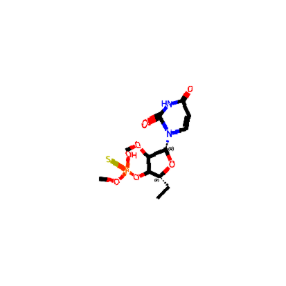 CC[C@H]1O[C@@H](n2ccc(=O)[nH]c2=O)C(OC)C1OP(O)(=S)OC